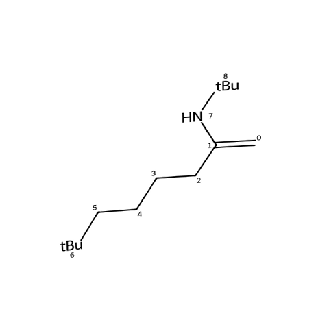 C=C(CCCCC(C)(C)C)NC(C)(C)C